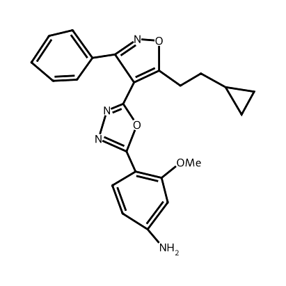 COc1cc(N)ccc1-c1nnc(-c2c(-c3ccccc3)noc2CCC2CC2)o1